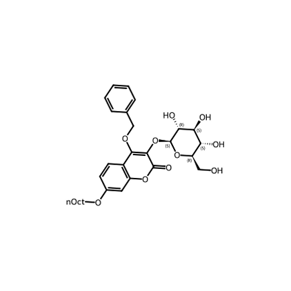 CCCCCCCCOc1ccc2c(OCc3ccccc3)c(O[C@@H]3O[C@H](CO)[C@@H](O)[C@H](O)[C@H]3O)c(=O)oc2c1